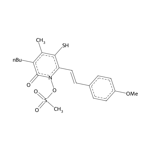 CCCCc1c(C)c(S)c(C=Cc2ccc(OC)cc2)n(OS(C)(=O)=O)c1=O